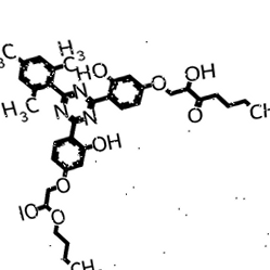 CCCCOC(O)COc1ccc(-c2nc(-c3ccc(OCC(O)C(=O)CCCC)cc3O)nc(-c3c(C)cc(C)cc3C)n2)c(O)c1